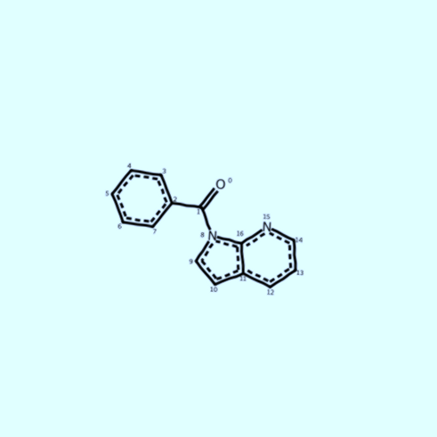 O=C(c1ccccc1)n1ccc2cccnc21